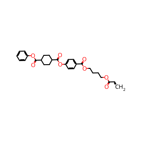 C=CC(=O)OCCCCOC(=O)c1ccc(OC(=O)C2CCC(C(=O)Oc3ccccc3)CC2)cc1